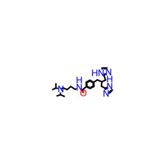 CC(C)N(CCCCNC(=O)c1ccc(CC(Cc2ncc[nH]2)Cc2ncc[nH]2)cc1)C(C)C